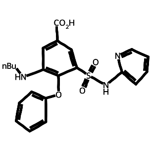 CCCCNc1cc(C(=O)O)cc(S(=O)(=O)Nc2ccccn2)c1Oc1ccccc1